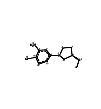 CO[C@@H]1CCN(c2cc(N)c(Cl)cn2)C1